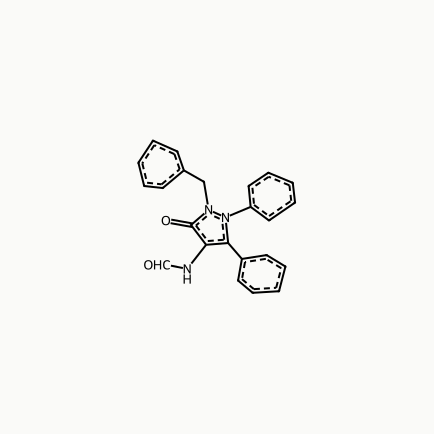 O=CNc1c(-c2ccccc2)n(-c2ccccc2)n(Cc2ccccc2)c1=O